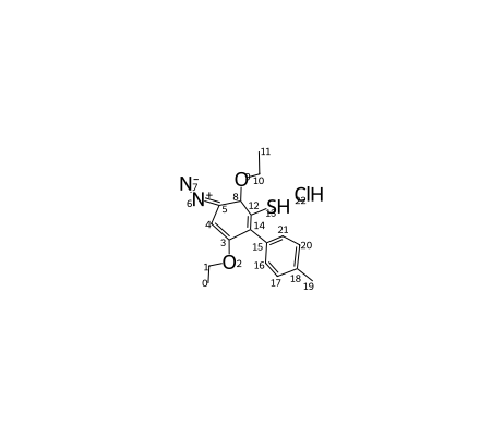 CCOC1=CC(=[N+]=[N-])C(OCC)C(S)=C1c1ccc(C)cc1.Cl